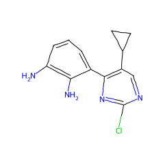 Nc1cccc(-c2nc(Cl)ncc2C2CC2)c1N